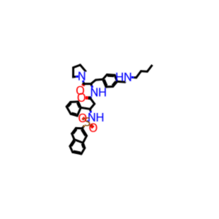 CCCCNCc1ccc(CC(NC(=O)CC(NS(=O)(=O)c2ccc3ccccc3c2)c2ccccc2)C(=O)N2CCCC2)cc1